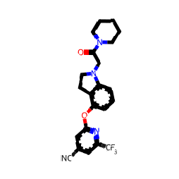 N#Cc1cc(Oc2cccc3c2CCN3CC(=O)N2CCCCC2)nc(C(F)(F)F)c1